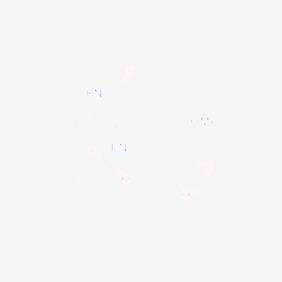 COc1c(/C=C2\SC(=S)NC2=O)c(NS(=O)(=O)c2cccs2)cc2c1OCO2